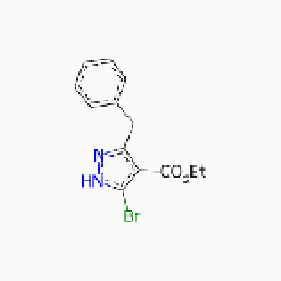 CCOC(=O)c1c(Cc2ccccc2)n[nH]c1Br